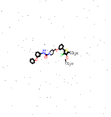 O=C(O)COc1c(C(=O)O)sc(-c2cccc(OCC3CCN(C(=O)Nc4cccc(Oc5ccccc5)c4)CC3)c2)c1Cl